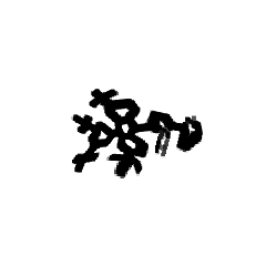 CC(C)(C)c1cc(-c2c3cc(C(C)(C)C)ccc3c(-c3ccc(-c4ccccn4)[nH]3)c3ccc(C(C)(C)C)cc23)cc(C(C)(C)C)c1